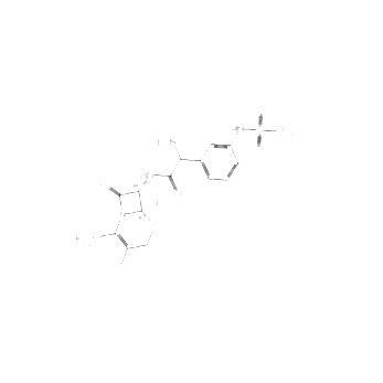 CS(=O)(=O)Nc1cccc(C(N)C(=O)N[C@@H]2C(=O)N3C(C(=O)O)=C(Cl)CS[C@H]23)c1